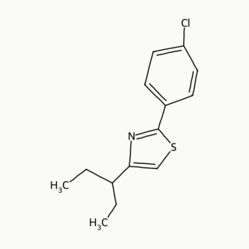 CCC(CC)c1csc(-c2ccc(Cl)cc2)n1